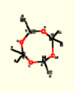 CC[SiH]1O[Si](C)(C)O[SiH](CC)O[Si](C)(C)O1